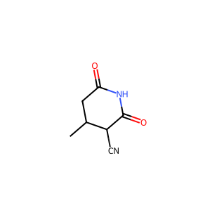 CC1CC(=O)NC(=O)C1C#N